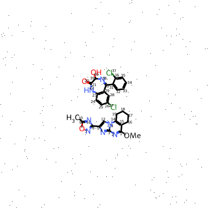 COc1nc2nc(-c3noc(C)n3)cn2c2c1CCCC2.O=C1Nc2ccc(Cl)cc2C(c2ccccc2Cl)=NC1O